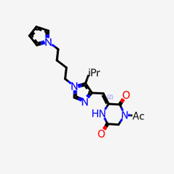 CC(=O)N1CC(=O)N/C(=C\c2ncn(CCCCn3cccc3)c2C(C)C)C1=O